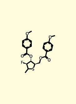 COc1ccc(C(=O)OC[C@H]2SC(C)[C@@H](F)[C@@H]2OC(=O)c2ccc(OC)cc2)cc1